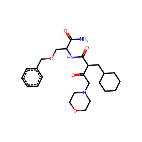 NC(=O)C(COCc1ccccc1)NC(=O)C(CC1CCCCC1)C(=O)CN1CCOCC1